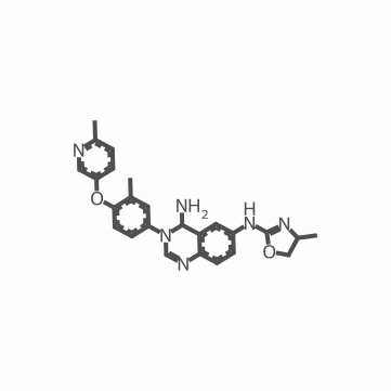 Cc1ccc(Oc2ccc(N3C=Nc4ccc(NC5=NC(C)CO5)cc4C3N)cc2C)cn1